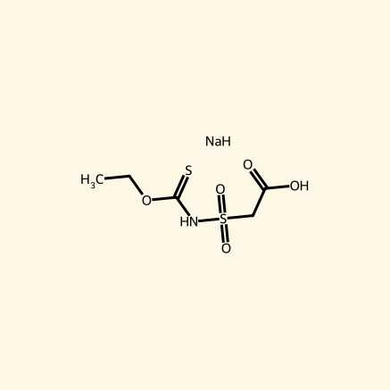 CCOC(=S)NS(=O)(=O)CC(=O)O.[NaH]